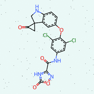 O=C(Nc1cc(Cl)c(Oc2ccc3c(c2)C2(CN3)CC2=O)c(Cl)c1)c1noc(=O)[nH]1